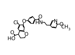 COc1ccc(CCNC(=O)c2ccc(Oc3cc4c(cc3Cl)C(C(=O)O)CCO4)cc2)cn1